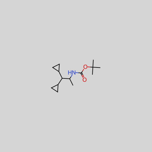 CC(NC(=O)OC(C)(C)C)C(C1CC1)C1CC1